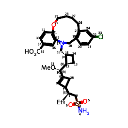 CC[C@H](CS(N)(=O)=O)C1C=C([C@H](OC)[C@@H]2CC[C@H]2CN2Cc3ccc(Cl)cc3CCCCOc3ccc(C(=O)O)cc32)C1